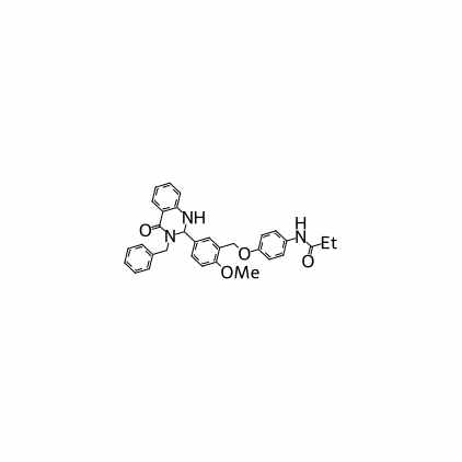 CCC(=O)Nc1ccc(OCc2cc(C3Nc4ccccc4C(=O)N3Cc3ccccc3)ccc2OC)cc1